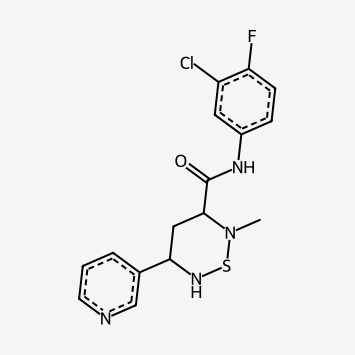 CN1SNC(c2cccnc2)CC1C(=O)Nc1ccc(F)c(Cl)c1